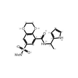 CNS(=O)(=O)c1cc2c(c(C(=O)NC(C)c3ccc[nH]3)c1)OCCO2